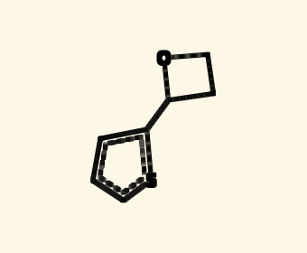 c1csc(C2CCO2)c1